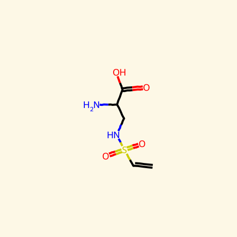 C=CS(=O)(=O)NCC(N)C(=O)O